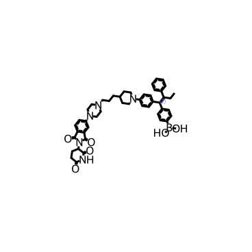 CC/C(=C(\c1ccc(B(O)O)cc1)c1ccc(N2CCC(CCCN3CCN(c4ccc5c(c4)C(=O)N(C4CCC(=O)NC4=O)C5=O)CC3)CC2)cc1)c1ccccc1